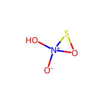 [O-][N+]1(O)OS1